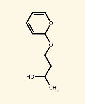 CC(O)CCOC1C=CC=CO1